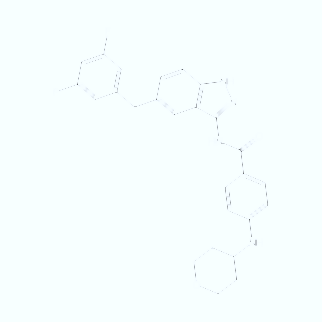 O=C(Nc1n[nH]c2ccc(Cc3cc(F)cc(F)c3)cc12)c1ccc(NC2CCOCC2)cc1